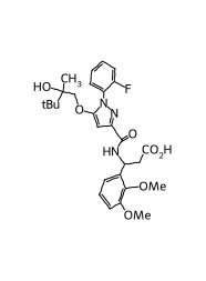 COc1cccc(C(CC(=O)O)NC(=O)c2cc(OCC(C)(O)C(C)(C)C)n(-c3ccccc3F)n2)c1OC